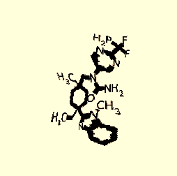 CC[C@]1(c2nc3ccccc3n2C)CC[C@@](C)(CN(C(N)=O)c2cnc(C(F)(F)P)nc2)CC1